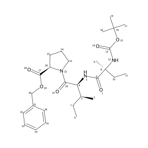 CC[C@H](C)[C@H](NC(=O)[C@](C)(CC)NC(=O)OC(C)(C)C)C(=O)N1CCC[C@@H]1C(=O)OCc1ccccc1